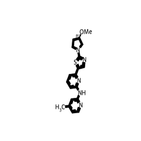 CO[C@@H]1CCN(c2ncc(-c3cccc(Nc4cc(C)ccn4)n3)s2)C1